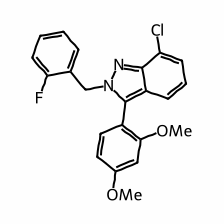 COc1ccc(-c2c3cccc(Cl)c3nn2Cc2ccccc2F)c(OC)c1